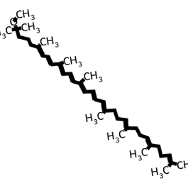 COC(C)(C)CCC/C(C)=C/C=C/C(C)=C/C=C/C(C)=C/C=C/C=C(\C)CC/C=C(\C)CC/C=C(\C)CCC=C(C)C